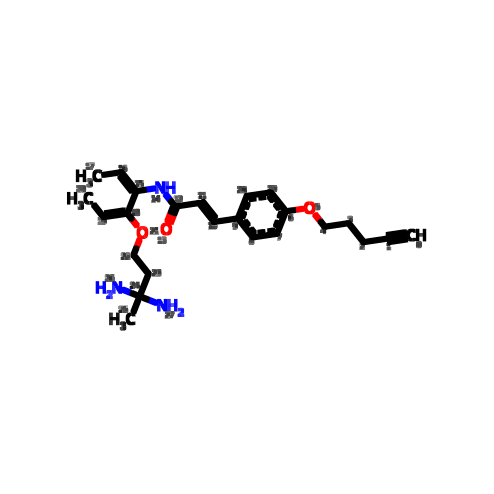 C#CCCCOc1ccc(/C=C/C(=O)NC(=C/C)/C(=C\C)OCCC(C)(N)N)cc1